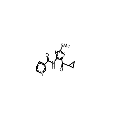 CSc1nc(NC(=O)c2cccnc2)c(C(=O)C2CC2)s1